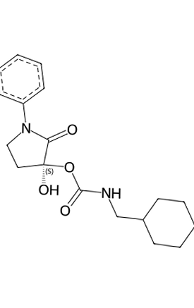 O=C(NCC1CCCCC1)O[C@@]1(O)CCN(c2ccccc2)C1=O